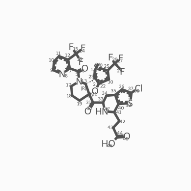 CCC[C@H]1N(C(=O)c2ncccc2C(F)(F)F)CCC[C@]1(Oc1csc(C(F)(F)F)c1)C(=O)C1Cc2cc(Cl)sc2C(CCC(=O)O)N1